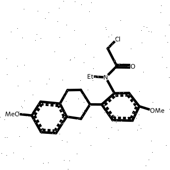 CCN(C(=O)CCl)c1cc(OC)ccc1C1CCc2cc(OC)ccc2C1